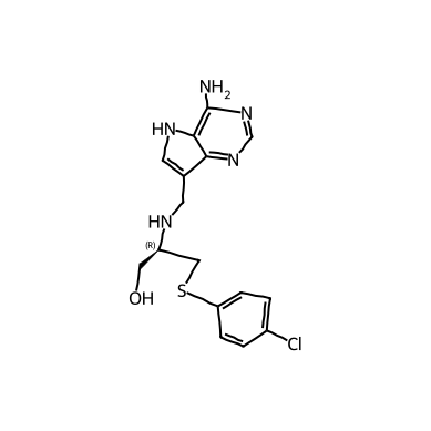 Nc1ncnc2c(CN[C@H](CO)CSc3ccc(Cl)cc3)c[nH]c12